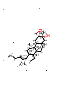 C[C@H](CCC(C)(C)C)[C@H]1CC[C@H]2[C@@H]3CC[C@H]4C[C@@](C)(O)[C@@H](CO)C[C@]4(C)[C@H]3CC[C@]12C